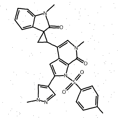 Cc1ccc(S(=O)(=O)n2c(-c3cnn(C)c3)cc3c(C4CC45C(=O)N(C)c4ccccc45)cn(C)c(=O)c32)cc1